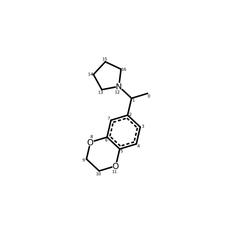 CC(c1ccc2c(c1)OCCO2)N1CCCC1